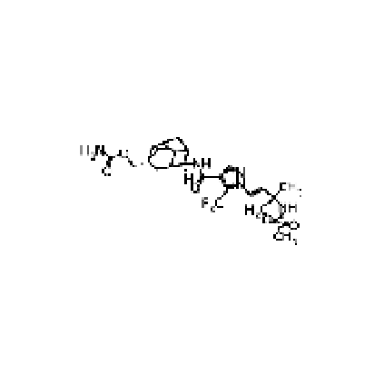 CC(C)(/C=C/n1ncc(C(=O)N[C@H]2C3CC4CC2C[C@](COC(N)=O)(C4)C3)c1C(F)(F)F)NS(C)(=O)=O